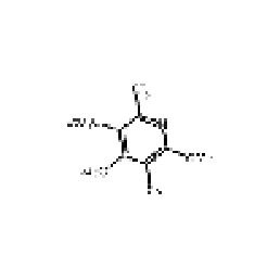 CCOC(=O)c1c(C(F)(F)F)nc(OC)c(C#N)c1OC